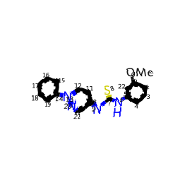 COc1cccc(NC(=S)N=c2ccn(-c3ccccc3)nc2)c1